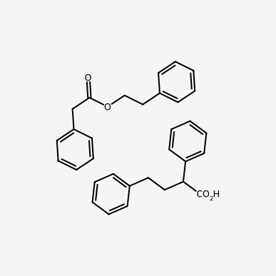 O=C(Cc1ccccc1)OCCc1ccccc1.O=C(O)C(CCc1ccccc1)c1ccccc1